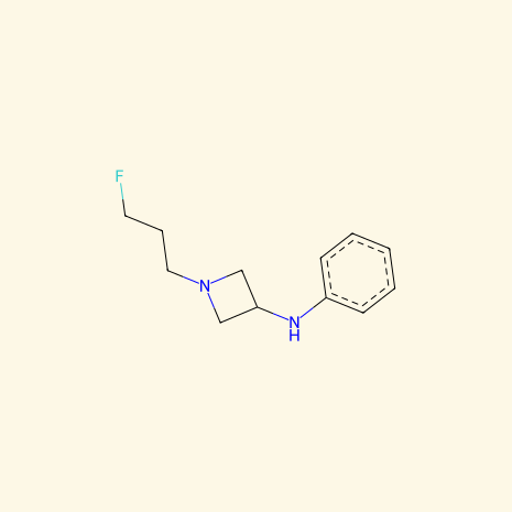 FCCCN1CC(Nc2ccccc2)C1